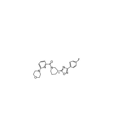 O=C(c1cccc(N2CCOCC2)n1)N1CCC[C@H](c2nc(-c3ccc(F)cc3)no2)C1